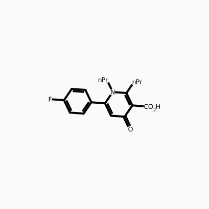 CCCc1c(C(=O)O)c(=O)cc(-c2ccc(F)cc2)n1CCC